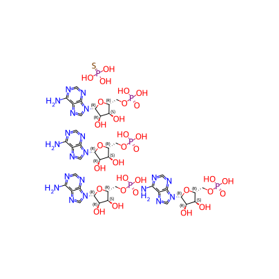 Nc1ncnc2c1ncn2[C@@H]1O[C@H](COP(=O)(O)O)[C@@H](O)[C@H]1O.Nc1ncnc2c1ncn2[C@@H]1O[C@H](COP(=O)(O)O)[C@@H](O)[C@H]1O.Nc1ncnc2c1ncn2[C@@H]1O[C@H](COP(=O)(O)O)[C@@H](O)[C@H]1O.Nc1ncnc2c1ncn2[C@@H]1O[C@H](COP(=O)(O)O)[C@@H](O)[C@H]1O.OP(O)(O)=S